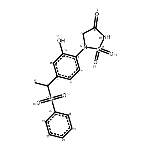 CC(c1ccc(N2CC(=O)NS2(=O)=O)c(O)c1)S(=O)(=O)c1ccccc1